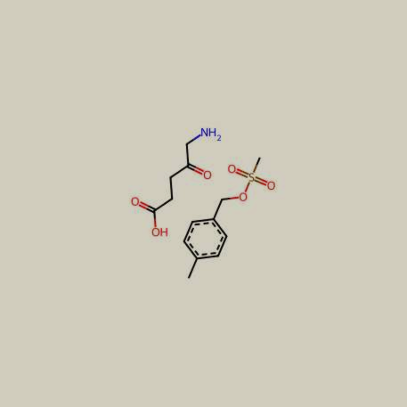 Cc1ccc(COS(C)(=O)=O)cc1.NCC(=O)CCC(=O)O